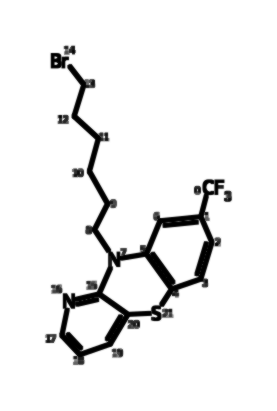 FC(F)(F)c1ccc2c(c1)N(CCCCCCBr)c1ncccc1S2